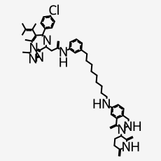 C=C1CCC(N2NCc3ccc(NCCCCCCCCCc4cccc(NC(=C)CC5N=C(c6ccc(Cl)cc6)C(C(C)=C(C)C)=C(C)n6c(C)nnc65)c4)cc3C2=C)C(=C)N1